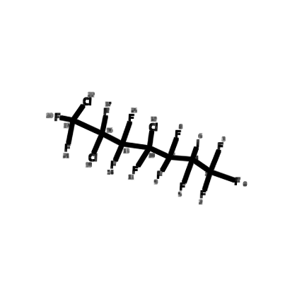 FC(F)(F)C(F)(I)C(F)(F)C(F)(Cl)C(F)(F)C(F)(Cl)C(F)(F)Cl